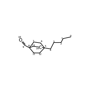 CCCCCC12CCC(C=O)(CC1)CC2